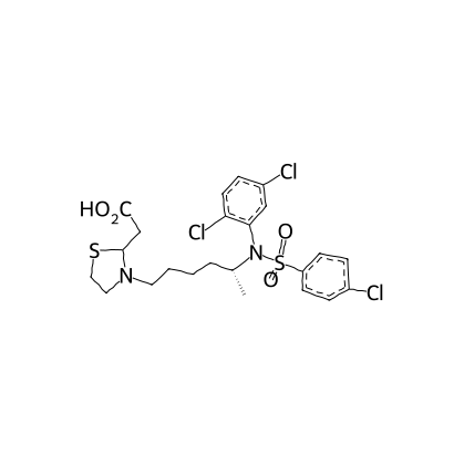 C[C@H](CCCCN1CCSC1CC(=O)O)N(c1cc(Cl)ccc1Cl)S(=O)(=O)c1ccc(Cl)cc1